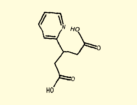 O=C(O)CC(CC(=O)O)c1ccccn1